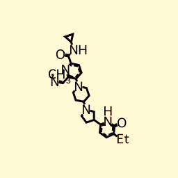 CCc1ccc(C2CCN(C3CCN(c4ccc(C(=O)NC5CC5)nc4/C=N\C)CC3)C2)[nH]c1=O